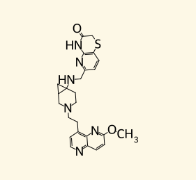 COc1ccc2nccc(CCN3CCC4(NCc5ccc6c(n5)NC(=O)CS6)CC4C3)c2n1